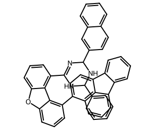 c1ccc(C2NC(c3cccc4oc5cccc(-c6ccc7c8c(cccc68)-c6ccccc6-7)c5c34)=NC(c3ccc4ccccc4c3)N2)cc1